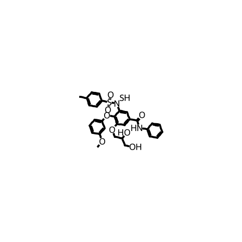 COc1cccc(Oc2c(OCC(O)CO)cc(C(=O)Nc3ccccc3)cc2N(S)S(=O)(=O)c2ccc(C)cc2)c1